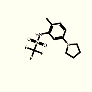 Cc1ccc(N2CCCC2)cc1NS(=O)(=O)C(F)(F)F